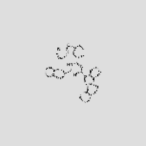 c1ccc2cc(C3N=C(c4cc5c6ccccc6ccc5c5ccccc45)N=C(c4cccc5oc6ncccc6c45)N3)ccc2c1